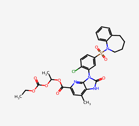 CCOC(=O)OC(C)OC(=O)c1cc(C)c2[nH]c(=O)n(-c3cc(S(=O)(=O)N4CCCCc5ccccc54)ccc3Cl)c2n1